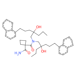 CCCC(O)(CCCc1cccc2ccccc12)CN(CC(O)(CCC)CCCc1cccc2ccccc12)C(=O)C1(C(N)=O)CCC1